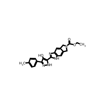 CCOC(=O)N1Cc2cc3nc(-c4[nH]nc(-c5ccc(C)cc5)c4O)[nH]c3cc2C1